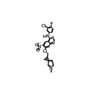 CN1CCC2(CC2COc2cc3ncnc(Nc4ccc(F)c(Cl)c4)c3cc2[N+](=O)[O-])C1